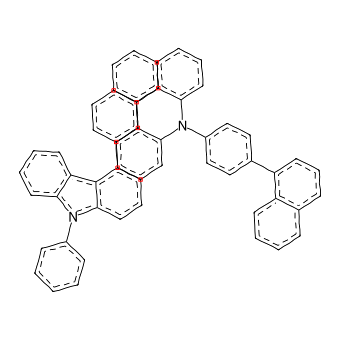 c1ccc(-c2ccccc2N(c2ccc(-c3cccc4ccccc34)cc2)c2ccccc2-c2cccc(-c3cccc4c3c3ccccc3n4-c3ccccc3)c2)cc1